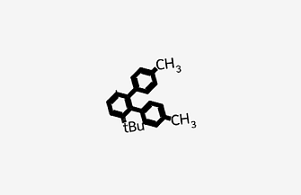 Cc1ccc(-c2[c]ccc(C(C)(C)C)c2-c2ccc(C)cc2)cc1